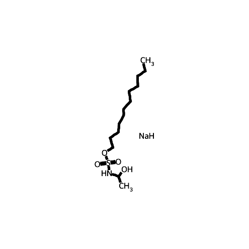 CCCCCCCCCCCCOS(=O)(=O)NC(C)O.[NaH]